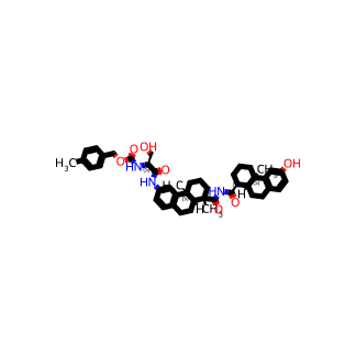 Cc1ccc(COC(=O)N[C@@H](CO)C(=O)Nc2ccc3c(c2)[C@@]2(C)CCC[C@](C)(C(=O)NC(=O)[C@H]4CCC[C@]5(C)c6cc(O)ccc6CC[C@@H]45)[C@@H]2CC3)cc1